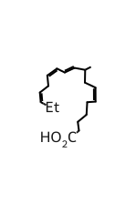 CC/C=C\C/C=C\C=C\C(C)C/C=C\CCCCC(=O)O